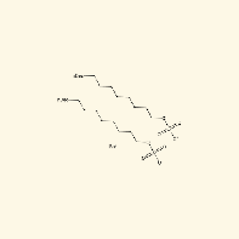 CCCCCCCCCCCCCCCCCCOS(=O)(=O)[O-].CCCCCCCCCCCCCCCCCCOS(=O)(=O)[O-].[Ba+2]